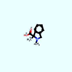 CN1Cc2ccccc2C1(C)C(=O)O